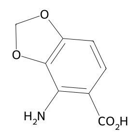 Nc1c(C(=O)O)ccc2c1OCO2